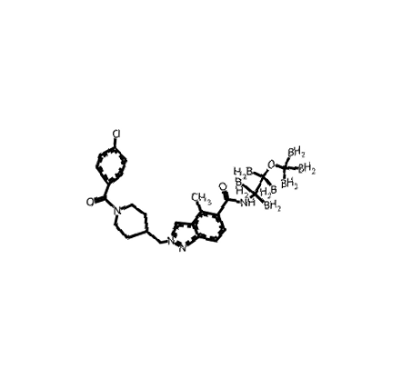 BC(B)(B)OC(B)(B)C(B)(B)NC(=O)c1ccc2nn(CC3CCN(C(=O)c4ccc(Cl)cc4)CC3)cc2c1C